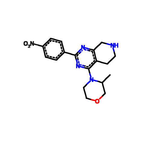 CC1COCCN1c1nc(-c2ccc([N+](=O)[O-])cc2)nc2c1CCNC2